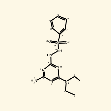 CCN(CC)c1nc(N)nc(NNS(=O)(=O)c2ccccc2)n1